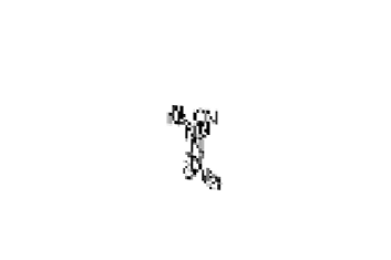 C[C@@H]1CN(c2cnc(C#N)c(-c3cnn(C)c3)n2)CCN1C(=O)N1CCOCC1